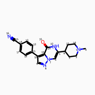 CN1CCC(c2cn3ncc(-c4ccc(C#N)cc4)c3c(=O)[nH]2)CC1